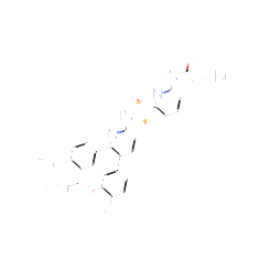 CC(C)(C)COc1cc(-c2ccc(NS(=O)(=O)c3cccc(NC(=O)OC(C)(C)C)n3)nc2-c2ccc(C(F)(F)F)cc2)ccc1Cl